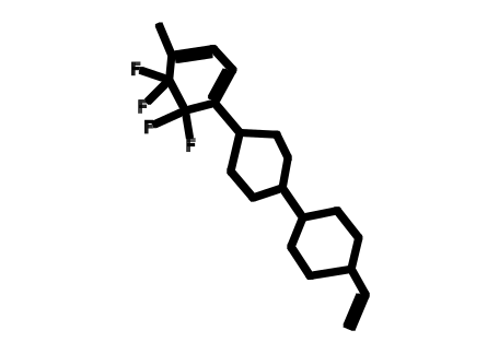 C=CC1CCC(C2CCC(C3=CC=C(C)C(F)(F)C3(F)F)CC2)CC1